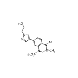 CCOC(=O)N1C[C@H](C)N(C(C)=O)c2ccc(-c3cnn(CCO)c3)cc21